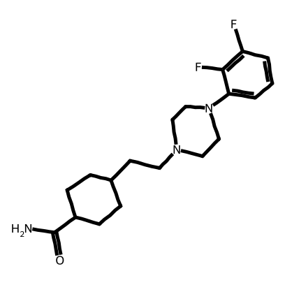 NC(=O)C1CCC(CCN2CCN(c3cccc(F)c3F)CC2)CC1